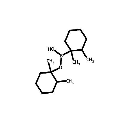 CC1CCCCC1(C)OB(O)C1(C)CCCCC1C